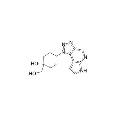 OCC1(O)CCC(n2nnc3cnc4[nH]ccc4c32)CC1